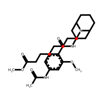 COC(=O)CCCCCCCN1C2CCCC1CC(NC(=O)c1ccc(NC(C)=O)cc1OC)C2